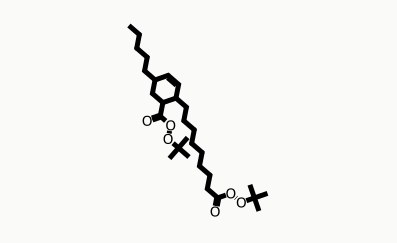 CCCCCC1C=CC(CCCCCCCCC(=O)OOC(C)(C)C)C(C(=O)OOC(C)(C)C)C1